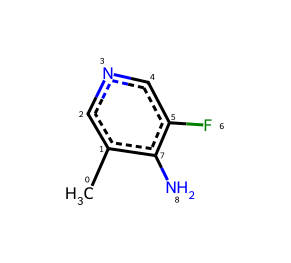 Cc1cncc(F)c1N